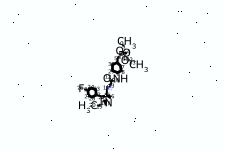 CCOP(=O)(Cc1ccc(NC(=O)/C=C/c2cnn(CC)c2-c2ccc(F)cc2)cc1)OCC